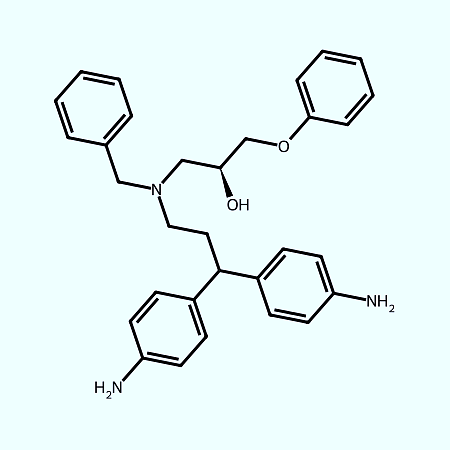 Nc1ccc(C(CCN(Cc2ccccc2)C[C@H](O)COc2ccccc2)c2ccc(N)cc2)cc1